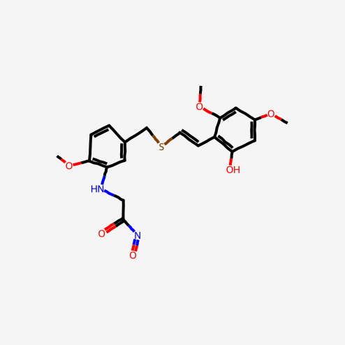 COc1cc(O)c(/C=C/SCc2ccc(OC)c(NCC(=O)N=O)c2)c(OC)c1